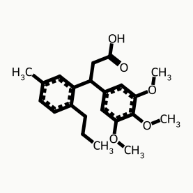 CCCc1ccc(C)cc1C(CC(=O)O)c1cc(OC)c(OC)c(OC)c1